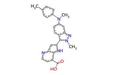 Cc1ccc(N(C)c2ccc3c(-c4cc5nccc(C(=O)O)c5[nH]4)n(C)nc3c2)cc1